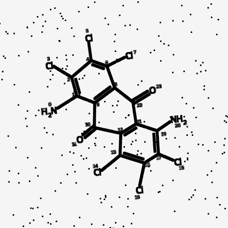 Nc1c(Cl)c(Cl)c(Cl)c2c1C(=O)c1c(Cl)c(Cl)c(Cl)c(N)c1C2=O